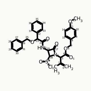 C=C(C)C(C(=O)OCc1ccc(OC)cc1)N1C(=O)C(NC(=O)C(OCc2ccccc2)c2ccccc2)C1[S+]([O-])Cl